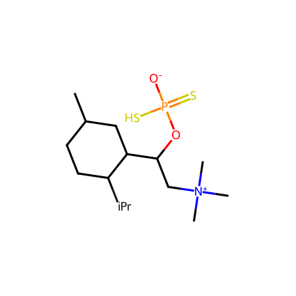 CC1CCC(C(C)C)C(C(C[N+](C)(C)C)OP([O-])(=S)S)C1